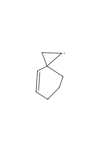 [CH]1CC12C=CCCC2